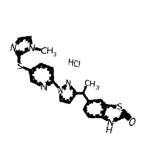 CC(c1ccc2[nH]c(=O)sc2c1)c1ccn(-c2ccc(Sc3nccn3C)cn2)n1.Cl